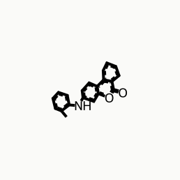 Cc1ccccc1Nc1ccc2c(c1)oc(=O)c1ccccc12